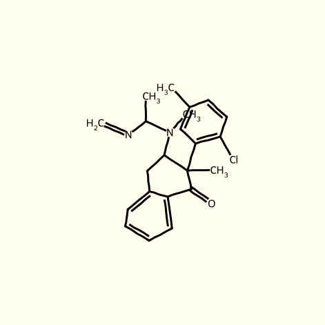 C=NC(C)N(C)C1Cc2ccccc2C(=O)C1(C)c1cc(C)ccc1Cl